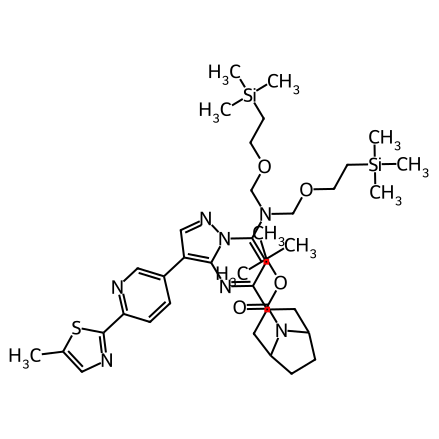 Cc1cnc(-c2ccc(-c3cnn4c(N(COCC[Si](C)(C)C)COCC[Si](C)(C)C)cc(C5CC6CCC(C5)N6C(=O)OC(C)(C)C)nc34)cn2)s1